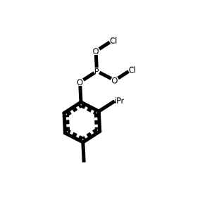 Cc1ccc(OP(OCl)OCl)c(C(C)C)c1